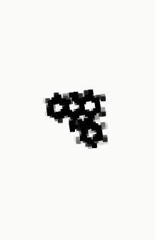 Nc1c2c(nc3ccccc13)CCCC2c1ccncc1